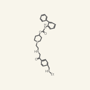 CCNCc1ccc(C(=O)CNCCN2CCC(OC(=O)Nc3ccccc3-c3ccccc3)CC2)cc1